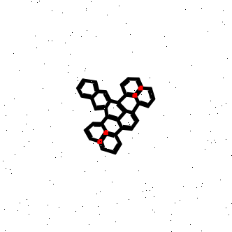 c1ccc(-c2ccc(-c3ccccc3)c3c(-c4ccccc4)c4cc5ccccc5cc4c(-c4ccccc4)c23)cc1